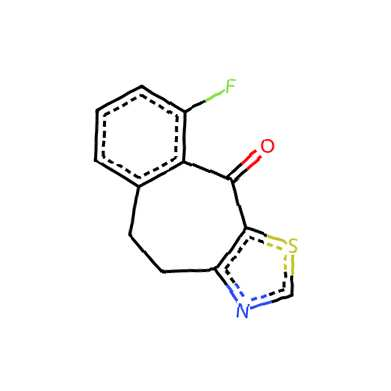 O=C1c2scnc2CCc2cccc(F)c21